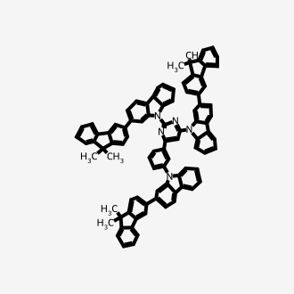 CC1(C)c2ccccc2-c2cc(-c3ccc4c5ccccc5n(-c5cccc(-c6cc(-n7c8ccccc8c8ccc(-c9ccc%10c(c9)-c9ccccc9C%10(C)C)cc87)nc(-n7c8ccccc8c8ccc(-c9ccc%10c(c9)-c9ccccc9C%10(C)C)cc87)n6)c5)c4c3)ccc21